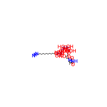 Cc1cn([C@H]2C[C@@H](O)[C@@H](COP(=O)(O)OP(=O)(O)OP(=O)(O)OP(=O)(O)OP(=O)(O)OP(=O)(O)OCCCCCCCCCCCN=[N+]=[N-])O2)c(=O)[nH]c1=O